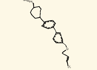 CCCCCCCC1CCC(c2ccc(-c3ccc(OC/C=C/C(F)(F)F)cc3)cc2)CC1